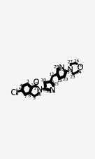 O=C1c2ccc(Cl)cc2CCN1c1cncc(Cc2ccc(N3CCOCC3)nc2)c1